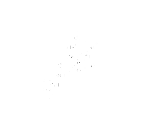 C=CC(=O)Nc1cccc(C)c1Nc1cc2c(=O)n(CCOC)c(-c3c(Cl)c(OC)cc(OC)c3Cl)nc2cn1